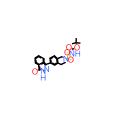 CC(C)(C)OC(=O)NS(=O)(=O)N1CCc2cc(-c3n[nH]c(=O)c4ccccc34)ccc2C1